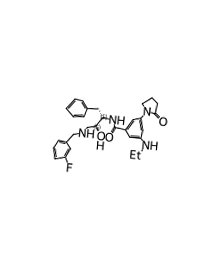 CCNc1cc(C(=O)N[C@@H](Cc2ccccc2)[C@@H](O)CNCc2cccc(F)c2)cc(N2CCCC2=O)c1